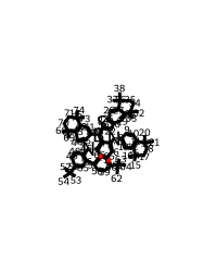 Cc1cc2c3c(c1)N(c1ccc4c(c1)C(C)(C)CCC4(C)C)c1c(sc4cc5c(cc14)C(C)(C)CCC5(C)C)B3c1cc3c(cc1N2c1ccc(C(C)(C)C)cc1-c1ccc(C(C)(C)C)cc1)C(C)(C)CCC3(C)C